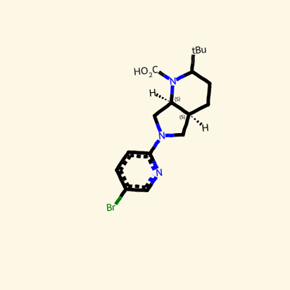 CC(C)(C)C1CC[C@H]2CN(c3ccc(Br)cn3)C[C@H]2N1C(=O)O